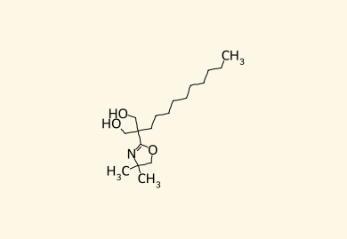 CCCCCCCCCCC(CO)(CO)C1=NC(C)(C)CO1